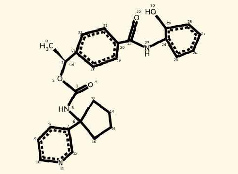 C[C@H](OC(=O)NC1(c2cccnc2)CCCC1)c1ccc(C(=O)Nc2ccccc2O)cc1